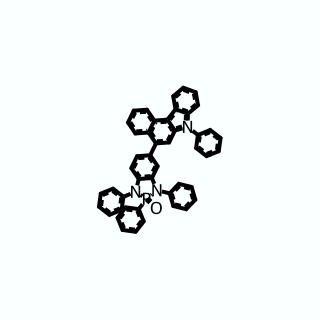 O=P1(c2ccccc2)N(c2ccccc2)c2ccc(-c3cc4c(c5ccccc35)c3ccccc3n4-c3ccccc3)cc2N1c1ccccc1